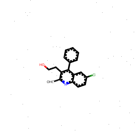 O=Cc1nc2ccc(Cl)cc2c(-c2ccccc2)c1CCO